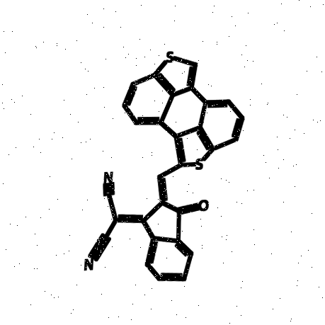 N#CC(C#N)=C1/C(=C/c2sc3cccc4c5csc6cccc(c2c34)c65)C(=O)c2ccccc21